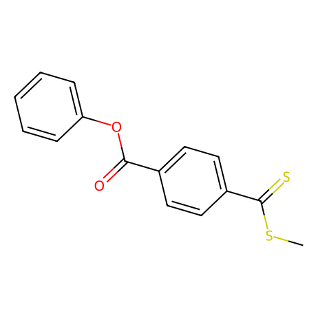 CSC(=S)c1ccc(C(=O)Oc2ccccc2)cc1